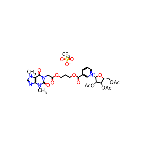 CC(=O)OC[C@H]1O[C@@H]([n+]2cccc(C(=O)OCCCOC(=O)Cn3c(=O)c4c(ncn4C)n(C)c3=O)c2)[C@H](OC(C)=O)[C@@H]1OC(C)=O.O=S(=O)([O-])C(F)(F)F